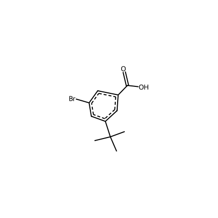 CC(C)(C)c1cc(Br)cc(C(=O)O)c1